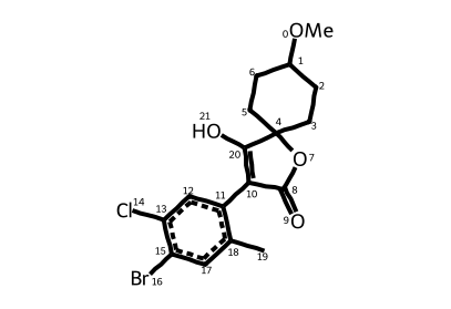 COC1CCC2(CC1)OC(=O)C(c1cc(Cl)c(Br)cc1C)=C2O